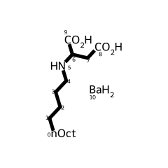 CCCCCCCCCCCCNC(CC(=O)O)C(=O)O.[BaH2]